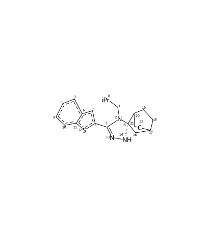 CC(C)CN1C(c2cc3ccccc3s2)=NN[C@]12CC1CCC2CC1